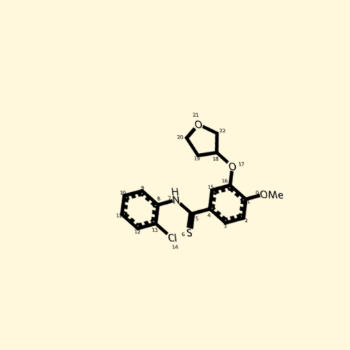 COc1ccc(C(=S)Nc2ccccc2Cl)cc1OC1CCOC1